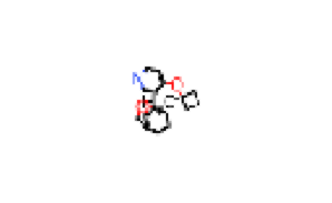 CC1(Oc2ccncc2)CCC1.c1cc2cc(c1)OC2